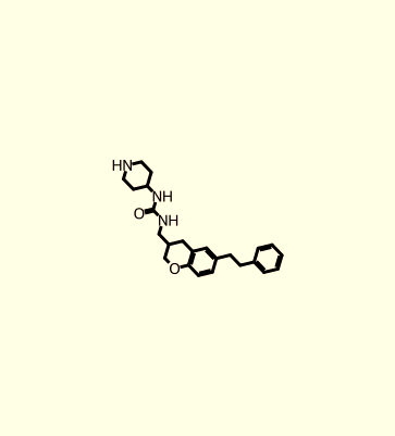 O=C(NCC1COc2ccc(CCc3ccccc3)cc2C1)NC1CCNCC1